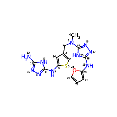 CN(Cc1csc(Nc2nnc(N)[nH]2)c1)c1nnc(Nc2ccco2)[nH]1